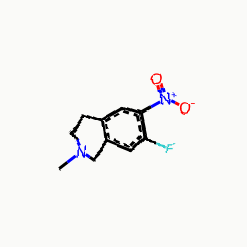 CN1CCc2cc([N+](=O)[O-])c(F)cc2C1